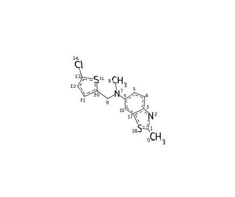 Cc1nc2ccc(N(C)Cc3ccc(Cl)s3)cc2s1